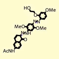 COc1ccc(/N=N/c2cc(OC)c(N/N=C3/C=Cc4cc(NC(C)=O)ccc4C3=O)cc2OC)c(OCCO)c1